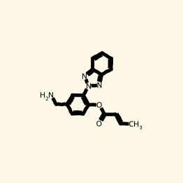 CC=CC(=O)Oc1ccc(CN)cc1-n1nc2ccccc2n1